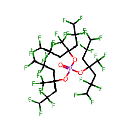 O=P(OC(CC(F)(F)C(F)F)(CC(F)(F)C(F)F)C(F)(F)F)(OC(CC(F)(F)C(F)F)(CC(F)(F)C(F)F)C(F)(F)F)OC(CC(F)(F)C(F)F)(CC(F)(F)C(F)F)C(F)(F)F